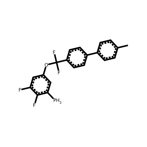 Cc1ccc(-c2ccc(C(F)(F)Oc3cc(F)c(F)c(P)c3)cc2)cc1